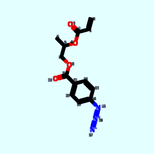 C=CC(=O)OC(C)COC(=O)c1ccc(N=[N+]=[N-])cc1